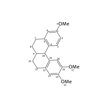 COc1ccc2c(c1)CCC1CCc3cc(OC)c(OC)cc3C21